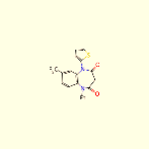 CCN1C(=O)CC(=O)N(c2cccs2)c2cc(C(F)(F)F)ccc21